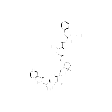 CCCC(NC(=O)C[C@H]1CCC(F)(F)[C@H]1CNC(=O)[C@@H](NC(=O)[C@H](NC(=O)c1cnccn1)C(C)C)C(C)C)C(=O)C(=O)N[C@@H](Cc1ccccc1)C(=O)O